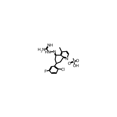 CS(=O)(=O)O.Cc1ccnc2c1C(=NNC(=N)N)CC(c1cc(F)ccc1Cl)C2